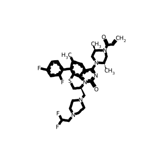 C=CC(=O)N1C[C@H](C)N(c2nc(=O)n3c4c(c(-c5ccc(F)cc5F)c(C)cc24)SC[C@@H]3CN2CCN(CC(F)F)CC2)C[C@H]1C